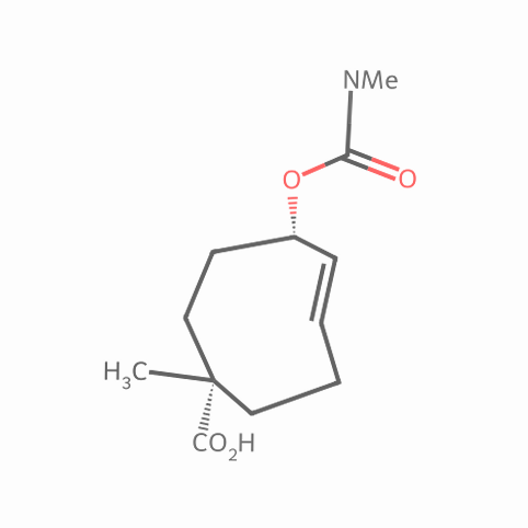 CNC(=O)O[C@@H]1/C=C/CC[C@](C)(C(=O)O)CC1